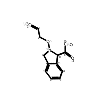 C=CCON1Cc2ccccc2C1C(=O)C=O